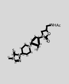 CC(=O)NCC1CN(c2ccc(N3CCC(n4ncn(C)c4=S)CC3)c(F)c2)C(=O)O1